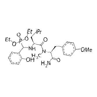 CCOP(=O)(OCC)C(N[C@@H](CC(C)C)C(=O)N(C)[C@@H](Cc1ccc(OC)cc1)C(N)=O)c1ccccc1O